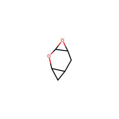 C1C2CC3OC3OC12